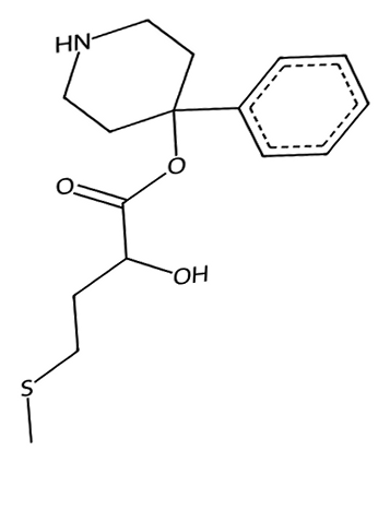 CSCCC(O)C(=O)OC1(c2ccccc2)CCNCC1